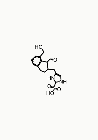 O=CC1c2c(CO)cccc2CCC1CC1=CNC(S(=O)(=O)O)N1